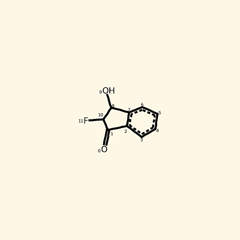 O=C1c2ccccc2C(O)C1F